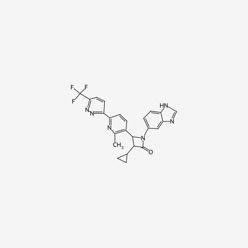 Cc1nc(-c2ccc(C(F)(F)F)nn2)ccc1C1C(C2CC2)C(=O)N1c1ccc2[nH]cnc2c1